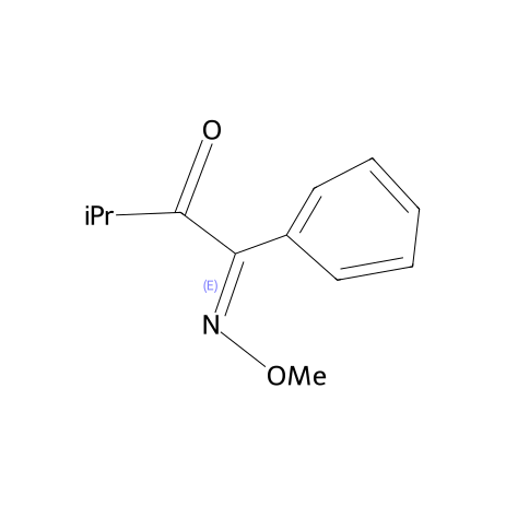 CO/N=C(/C(=O)C(C)C)c1ccccc1